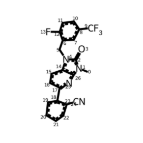 Cn1c(=O)n(Cc2cc(C(F)(F)F)ccc2F)c2ccc(-c3ccccc3C#N)nc21